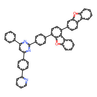 c1ccc(-c2cc(-c3ccc(-c4ccccn4)cc3)nc(-c3ccc(-c4ccc(-c5ccc6c(c5)oc5ccccc56)c5c4oc4ccccc45)cc3)n2)cc1